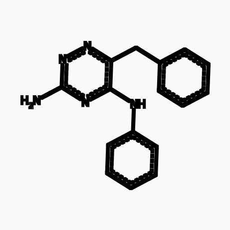 Nc1nnc(Cc2ccccc2)c(Nc2ccccc2)n1